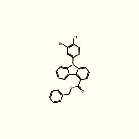 N#Cc1ccc(-n2c3ccccc3c3c(C(=O)OCc4ccccc4)cccc32)cc1Br